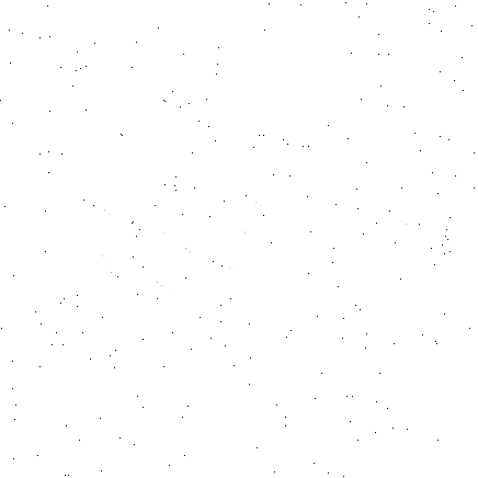 CC(NC(=O)c1c(N)nn2cccnc12)c1nc2cccc(C#Cc3ccncc3)c2c(=O)n1Nc1ccccc1